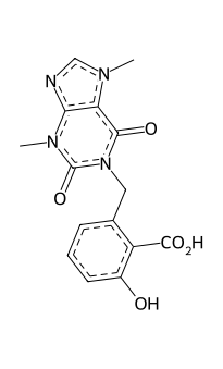 Cn1cnc2c1c(=O)n(Cc1cccc(O)c1C(=O)O)c(=O)n2C